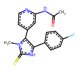 CC(=O)Nc1cc(-c2c(-c3ccc(F)cc3)[nH]c(=S)n2C)ccn1